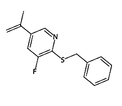 C=C(C)c1cnc(SCc2ccccc2)c(F)c1